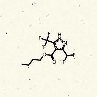 CCCCOC(=O)c1c(C(F)F)n[nH]c1C(F)(F)F